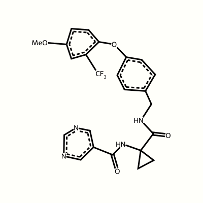 COc1ccc(Oc2ccc(CNC(=O)C3(NC(=O)c4cncnc4)CC3)cc2)c(C(F)(F)F)c1